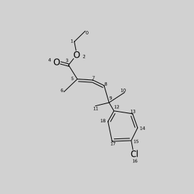 CCOC(=O)C(C)=C=CC(C)(C)c1ccc(Cl)cc1